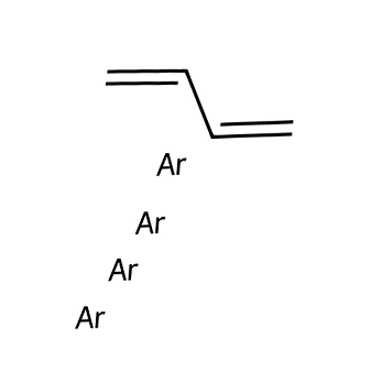 C=CC=C.[Ar].[Ar].[Ar].[Ar]